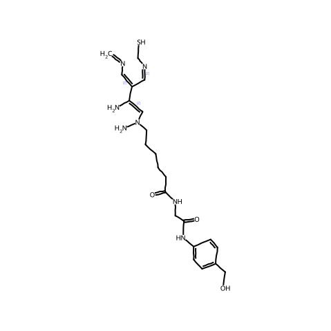 C=N/C=C(\C=N/CS)C(/N)=C/N(N)CCCCCC(=O)NCC(=O)Nc1ccc(CO)cc1